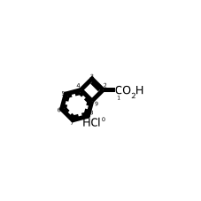 Cl.O=C(O)C1=Cc2ccccc21